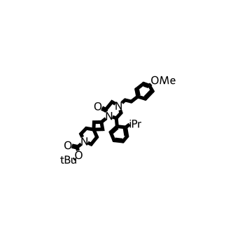 COc1ccc(CCN2CC(=O)N(C3CC4(CCN(C(=O)OC(C)(C)C)CC4)C3)C(c3ccccc3C(C)C)C2)cc1